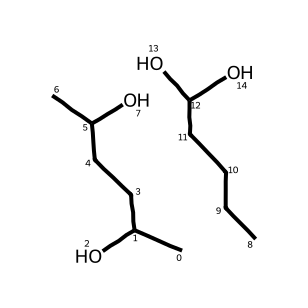 CC(O)CCC(C)O.CCCCC(O)O